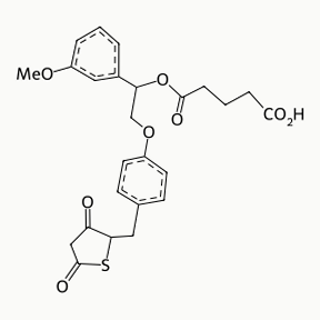 COc1cccc(C(COc2ccc(CC3SC(=O)CC3=O)cc2)OC(=O)CCCC(=O)O)c1